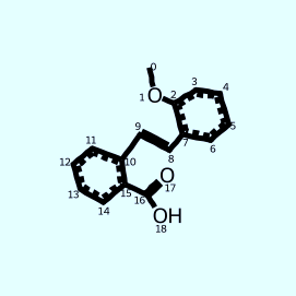 COc1ccccc1C=Cc1ccccc1C(=O)O